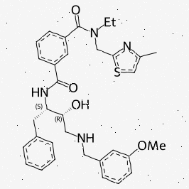 CCN(Cc1nc(C)cs1)C(=O)c1cccc(C(=O)N[C@@H](Cc2ccccc2)[C@H](O)CNCc2cccc(OC)c2)c1